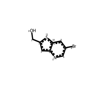 OCc1cc2ncc(Br)cc2s1